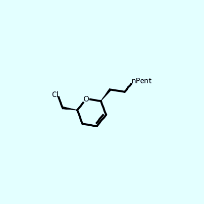 CCCCCCC[C@H]1C=CC[C@@H](CCl)O1